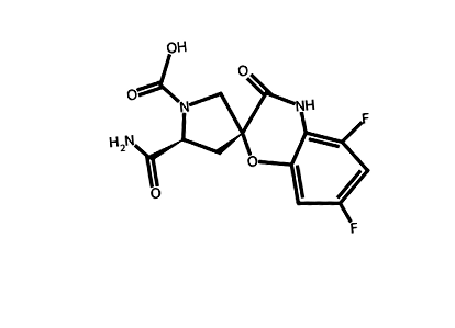 NC(=O)[C@@H]1C[C@]2(CN1C(=O)O)Oc1cc(F)cc(F)c1NC2=O